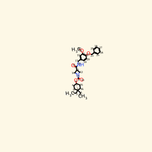 CCC1(CC)CCC(OC(=O)N2CC(C(=O)NCc3ccc(OCc4ccccc4)c(OC)c3)C2)CC1